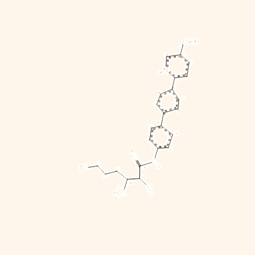 CCCCCCCCCc1ccc(-c2ccc(-c3ccc(OC(=O)C(Cl)C(C)CCCC(C)C)cc3)cc2)nc1